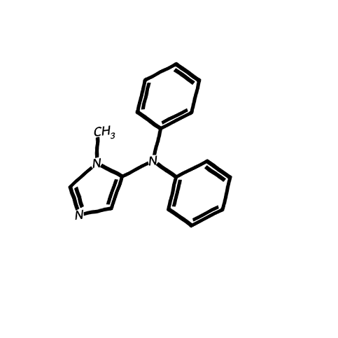 Cn1cncc1N(c1ccccc1)c1ccccc1